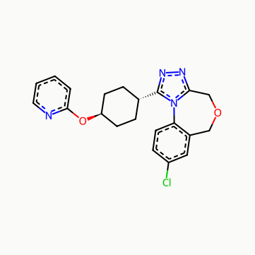 Clc1ccc2c(c1)COCc1nnc([C@H]3CC[C@H](Oc4ccccn4)CC3)n1-2